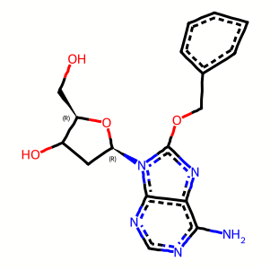 Nc1ncnc2c1nc(OCc1ccccc1)n2[C@H]1CC(O)[C@@H](CO)O1